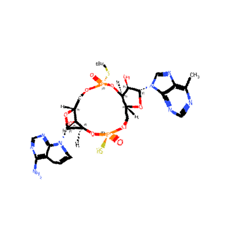 Cc1ncnc2c1ncn2[C@@H]1O[C@@H]2CO[P@@](=O)(S)O[C@@H]3[C@H](O)[C@@H](CO[P@](=O)(SC(C)(C)C)O[C@H]2[C@H]1O)O[C@H]3n1ccc2c(N)ncnc21